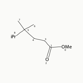 COC(=O)CCC(C)(C)C(C)C